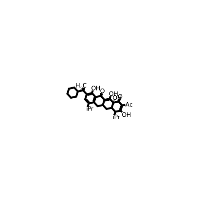 C=C(c1cc(C(C)C)c2c(c1O)C(=O)C1=C(O)[C@@]3(O)C(=O)C(C(C)=O)=C(O)C(C(C)C)C3CC1C2)C1CCCCC1